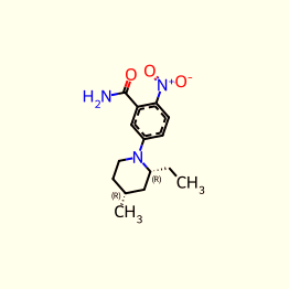 CC[C@@H]1C[C@H](C)CCN1c1ccc([N+](=O)[O-])c(C(N)=O)c1